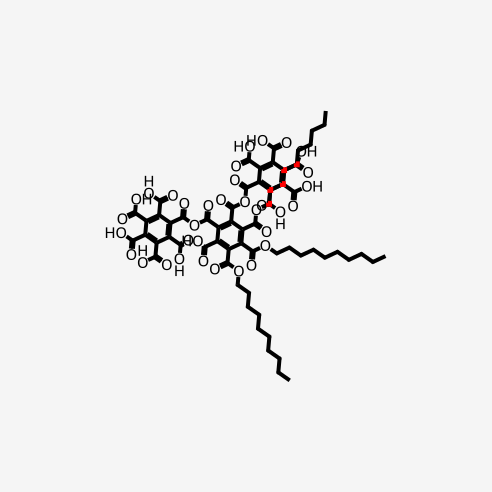 CCCCCCCCCCOC(=O)c1c(C(=O)O)c(C(=O)OC(=O)c2c(C(=O)O)c(C(=O)O)c(C(=O)O)c(C(=O)O)c2C(=O)O)c(C(=O)OC(=O)c2c(C(=O)O)c(C(=O)O)c(C(=O)O)c(C(=O)O)c2C(=O)O)c(C(=O)OCCCCCCCCCC)c1C(=O)OCCCCCCCCCC